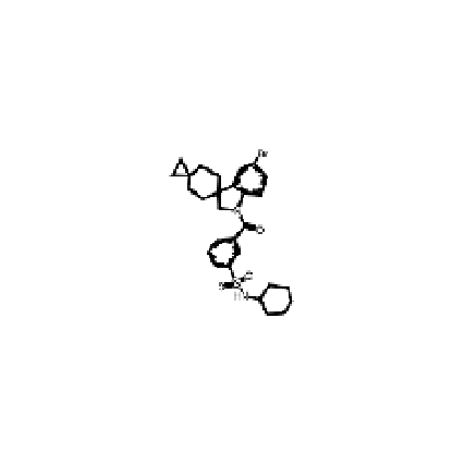 O=C(c1cccc(S(=O)(=O)NC2CCCCC2)c1)N1CC2(CCC3(CC3)CC2)c2cc(Br)ccc21